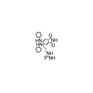 CNC(=S)NCCCC1(Nc2ccccc2)C=C2C(=O)NC(=O)C2C=C1Nc1ccccc1